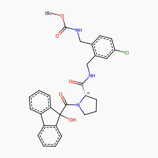 CC(C)(C)OC(=O)NCc1ccc(Cl)cc1CNC(=O)[C@@H]1CCCN1C(=O)C1(O)c2ccccc2-c2ccccc21